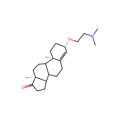 CN(C)CCO[C@@H]1C=C2CCC3C(CC[C@]4(C)C(=O)CCC34)[C@@]2(C)CC1